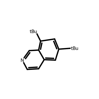 CC(C)(C)c1cc(C(C)(C)C)c2cnccc2c1